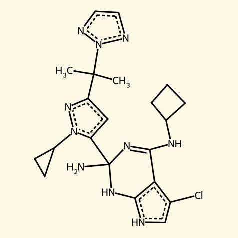 CC(C)(c1cc(C2(N)N=C(NC3CCC3)c3c(Cl)c[nH]c3N2)n(C2CC2)n1)n1nccn1